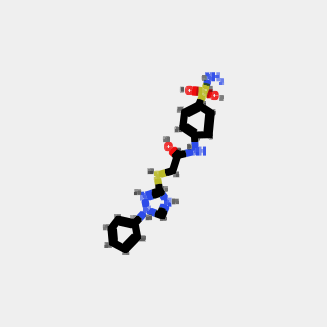 NS(=O)(=O)c1ccc(NC(=O)CSc2ncn(-c3ccccc3)n2)cc1